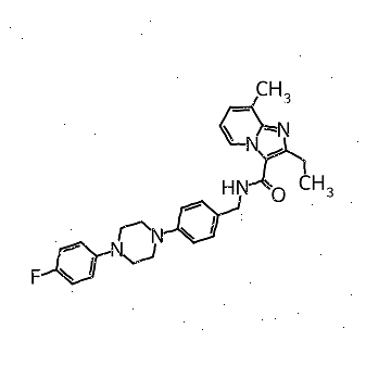 CCc1nc2c(C)cccn2c1C(=O)NCc1ccc(N2CCN(c3ccc(F)cc3)CC2)cc1